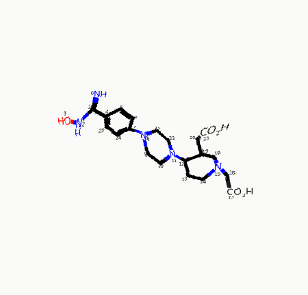 N=C(NO)c1ccc(N2CCN(C3CCN(CC(=O)O)CC3CC(=O)O)CC2)cc1